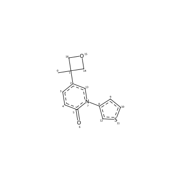 CC1(c2ccc(=O)n(-c3ccsc3)c2)COC1